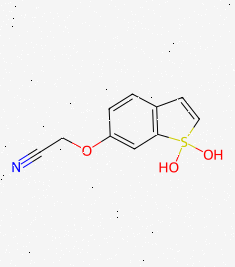 N#CCOc1ccc2c(c1)S(O)(O)C=C2